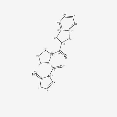 N=C1CC=CN1C(=O)[C@@H]1CCCN1C(=O)C1Cc2ccccc2C1